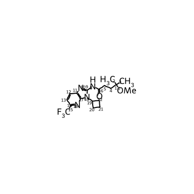 COC(C)(C)CCC(=O)Nc1nc2ccc(C(F)(F)F)nc2n1C1CCC1